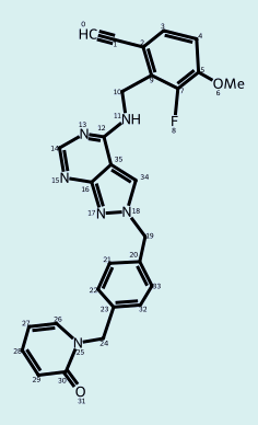 C#Cc1ccc(OC)c(F)c1CNc1ncnc2nn(Cc3ccc(Cn4ccccc4=O)cc3)cc12